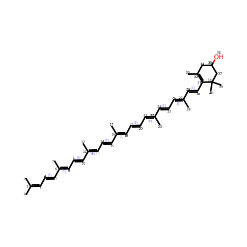 CC(C)=C/C=C/C(C)=C/C=C/C(C)=C/C=C/C(C)=C/C=C/C=C(C)/C=C/C=C(C)/C=C/C1=C(C)CC(O)CC1(C)C